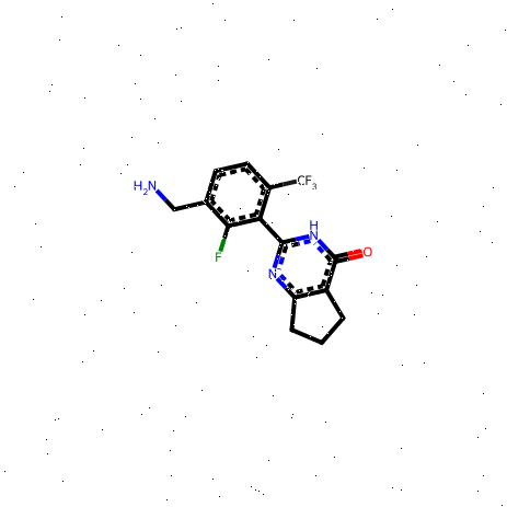 NCc1ccc(C(F)(F)F)c(-c2nc3c(c(=O)[nH]2)CCC3)c1F